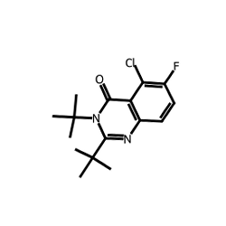 CC(C)(C)c1nc2ccc(F)c(Cl)c2c(=O)n1C(C)(C)C